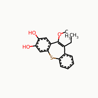 CCC1=C(OC)c2cc(O)c(O)cc2Sc2ccccc21